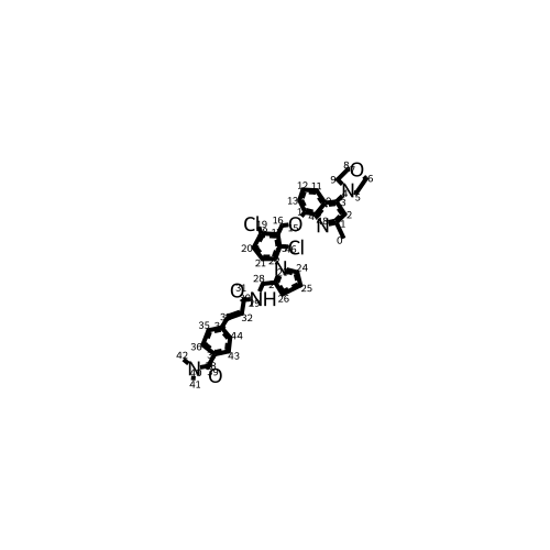 Cc1cc(N2CCOCC2)c2cccc(OCc3c(Cl)ccc(-n4cccc4CNC(=O)C=Cc4ccc(C(=O)N(C)C)cc4)c3Cl)c2n1